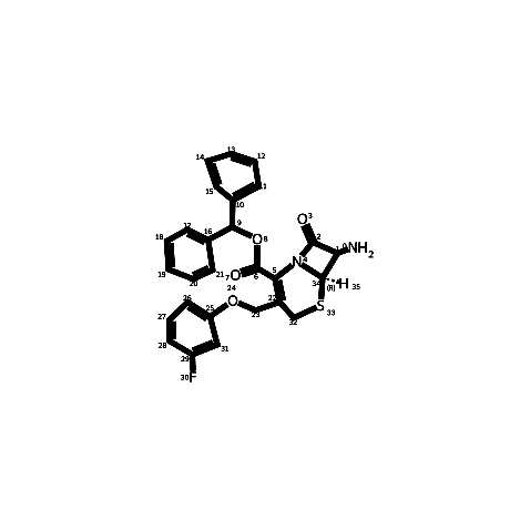 NC1C(=O)N2C(C(=O)OC(c3ccccc3)c3ccccc3)=C(COc3cccc(F)c3)CS[C@H]12